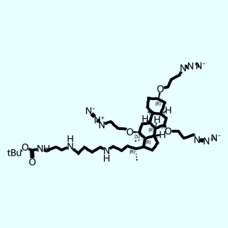 C[C@H](CCCNCCCCNCCCNC(=O)OC(C)(C)C)C1CC[C@H]2[C@@H]3[C@H](OCCCN=[N+]=[N-])C[C@@H]4C[C@H](OCCCN=[N+]=[N-])CC[C@]4(C)[C@H]3C[C@H](OCCCN=[N+]=[N-])[C@]12C